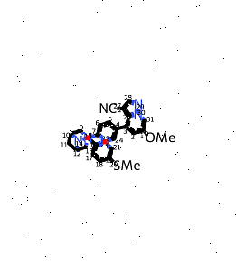 COc1cc(-c2ccc(N3CC4CC(C3)N4Cc3ccc(SC)cn3)nc2)c2c(C#N)cnn2c1